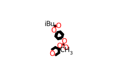 CCC(C)C(=O)Oc1ccc(OC(=O)OC2(C)CCOCC2)cc1